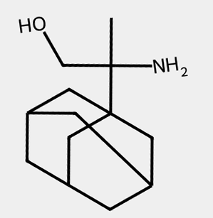 CC(N)(CO)C12CC3CC(CC(C3)C1)C2